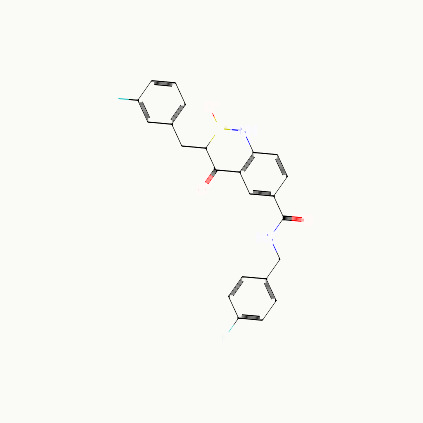 O=C(NCc1ccc(F)cc1)c1ccc2c(c1)C(=O)C(Cc1cccc(F)c1)[S+]([O-])N2